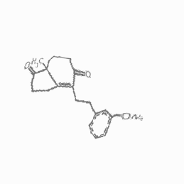 COc1cccc(CCC2=C3CCC(=O)C3(C)CCC2=O)c1